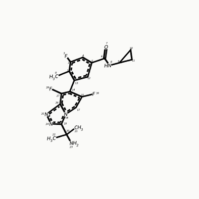 Cc1c(F)cc(C(=O)NC2CC2)cc1-c1c(F)cn2c(C(C)(C)N)nnc2c1F